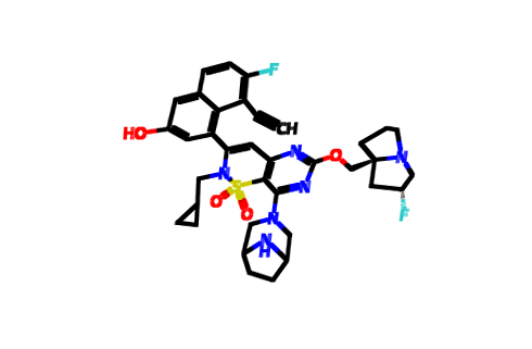 C#Cc1c(F)ccc2cc(O)cc(C3=Cc4nc(OC[C@@]56CCCN5C[C@H](F)C6)nc(N5CC6CCC(C5)N6)c4S(=O)(=O)N3CC3CC3)c12